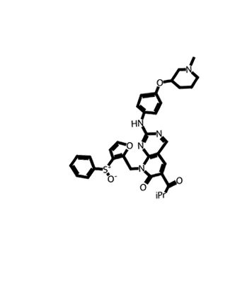 CC(C)C(=O)c1cc2cnc(Nc3ccc(OC4CCCN(C)C4)cc3)nc2n(Cc2occc2[S+]([O-])c2ccccc2)c1=O